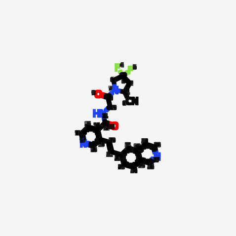 N#CC1CC(F)(F)CN1C(=O)CNC(=O)c1ccncc1C=Cc1ccc2cnccc2c1